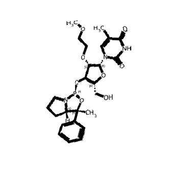 COCCO[C@H]1C(O[P@@]2O[C@](C)(c3ccccc3)[C@@H]3CCCN32)[C@@H](CO)O[C@H]1n1cc(C)c(=O)[nH]c1=O